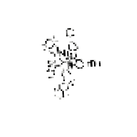 CC(C)(C)c1ccc(N2B3c4oc5ccc(-c6ccccc6)cc5c4-n4c5cc6c(cc5c5c7sc8ccccc8c7c(c3c54)-c3cc4c(cc32)C(C)(C)c2cc3c(cc2-4)C(C)(C)CCC3(C)C)C(C)(C)CCC6(C)C)cc1